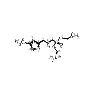 CCOP(=O)(CNCc1nc(C)no1)OCC